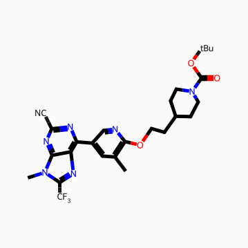 Cc1cc(-c2nc(C#N)nc3c2nc(C(F)(F)F)n3C)cnc1OCCC1CCN(C(=O)OC(C)(C)C)CC1